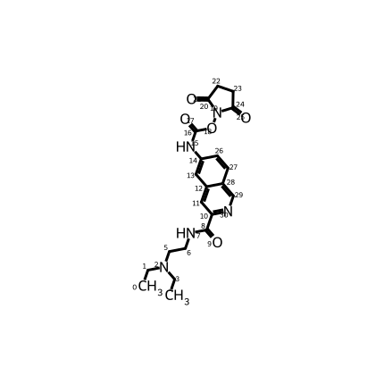 CCN(CC)CCNC(=O)c1cc2cc(NC(=O)ON3C(=O)CCC3=O)ccc2cn1